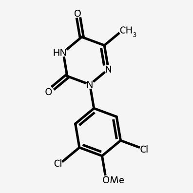 COc1c(Cl)cc(-n2nc(C)c(=O)[nH]c2=O)cc1Cl